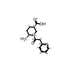 C[C@H]1CC[C@@H](C(=O)O)CN1C(=O)Cc1ccccn1